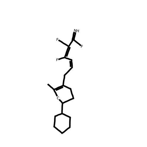 CC1=C(C/C=C\C(F)=C(\F)C(=N)F)CCC(C2CCCCC2)C1